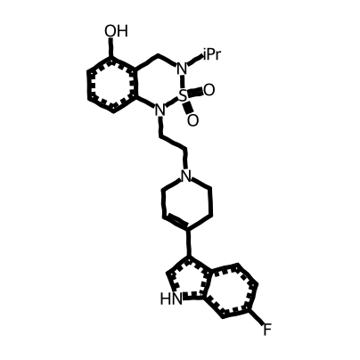 CC(C)N1Cc2c(O)cccc2N(CCN2CC=C(c3c[nH]c4cc(F)ccc34)CC2)S1(=O)=O